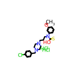 COc1cccc(N(CCCN2CCN(Cc3ccc(Cl)cc3)CC2)C(O)=S)c1.Cl.Cl